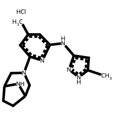 Cc1cc(Nc2cc(C)[nH]n2)nc(N2CC3CCC(C2)N3)c1.Cl